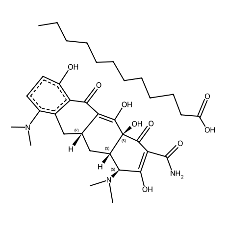 CCCCCCCCCCCC(=O)O.CN(C)c1ccc(O)c2c1C[C@H]1C[C@H]3[C@H](N(C)C)C(O)=C(C(N)=O)C(=O)[C@@]3(O)C(O)=C1C2=O